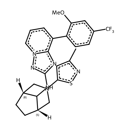 COc1cc(C(F)(F)F)ccc1-c1cccn2nc(NC3[C@@H]4CC[C@H]3CN(c3cc(C)ns3)C4)nc12